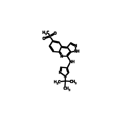 CC(C)(C)n1cc(Nc2nc3ccc(S(C)(=O)=O)cc3c3cn[nH]c23)cn1